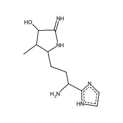 CC1C(CCC(N)c2ncc[nH]2)NC(=N)C1O